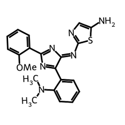 COc1ccccc1C1=N/C(=N\c2ncc(N)s2)C(c2ccccc2N(C)C)=N1